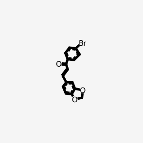 O=C(C=Cc1ccc2c(c1)OCO2)c1ccc(Br)cc1